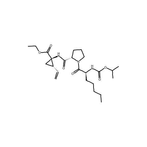 C=C[C@@H]1C[C@]1(NC(=O)[C@@H]1CCCN1C(=O)[C@H](CCCCC)NC(=O)OC(C)C)C(=O)OCC